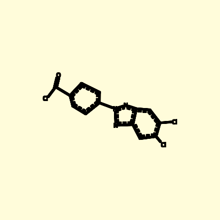 O=C(Cl)c1ccc(-n2nc3cc(Cl)c(Cl)cc3n2)cc1